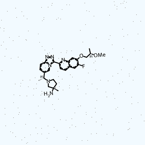 CO[C@H](C)COc1cc2nc(-c3nnc4ccc([C@@H](C)N5CC[C@](C)(N)C5)cn34)ccc2cc1F